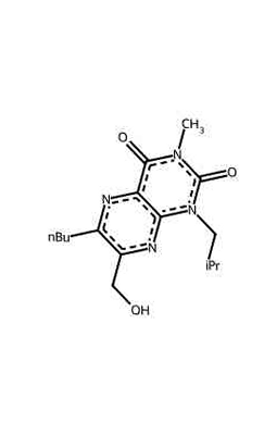 CCCCc1nc2c(=O)n(C)c(=O)n(CC(C)C)c2nc1CO